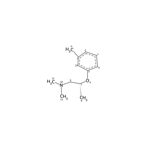 Cc1cccc(O[C@H](C)CN(C)C)c1